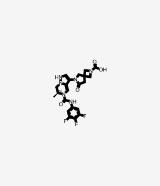 C[C@H]1CN2NC=C(N3CC4(CC3=O)CN(C(=O)O)C4)C2=CN1C(=O)Nc1cc(F)c(F)c(F)c1